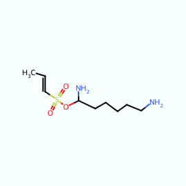 CC=CS(=O)(=O)OC(N)CCCCCN